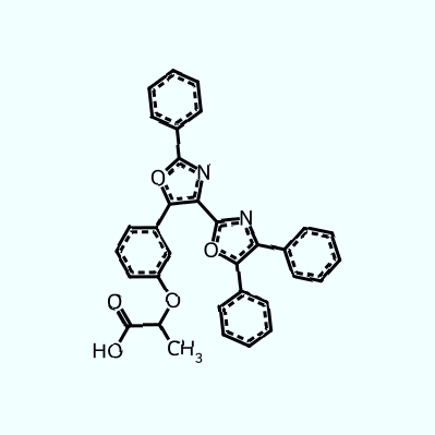 CC(Oc1cccc(-c2oc(-c3ccccc3)nc2-c2nc(-c3ccccc3)c(-c3ccccc3)o2)c1)C(=O)O